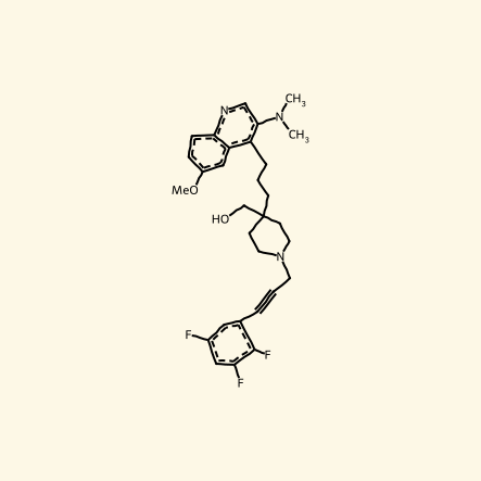 COc1ccc2ncc(N(C)C)c(CCCC3(CO)CCN(CC#Cc4cc(F)cc(F)c4F)CC3)c2c1